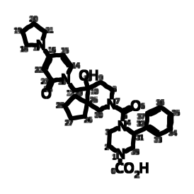 O=C(O)N1CCN(C(=O)N2CCC(O)(Cn3ccc(N4CCCC4)cc3=O)C3(CCCC3)C2)C(c2ccccc2)C1